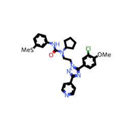 COc1ccc(-c2nc(-c3ccncc3)nn2CCN(C(=O)Nc2cccc(SC)c2)C2CCCC2)cc1Cl